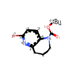 CC(C)(C)OC(=O)N1CCCc2nc(Br)ccc21